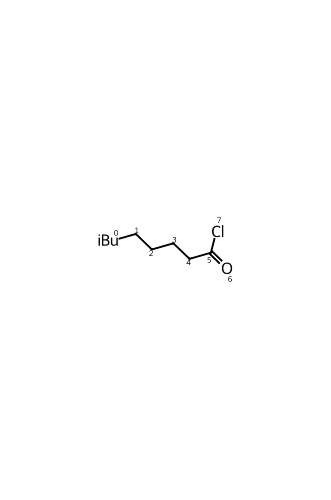 CCC(C)CCCCC(=O)Cl